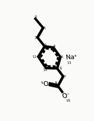 CCCc1ccc(CC(=O)[O-])cc1.[Na+]